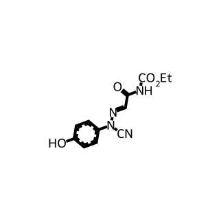 CCOC(=O)NC(=O)C=NN(C#N)c1ccc(O)cc1